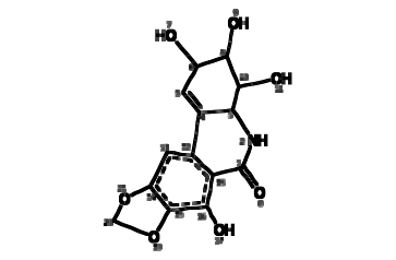 O=C1NC2C(=CC(O)C(O)C2O)c2cc3c(c(O)c21)OCO3